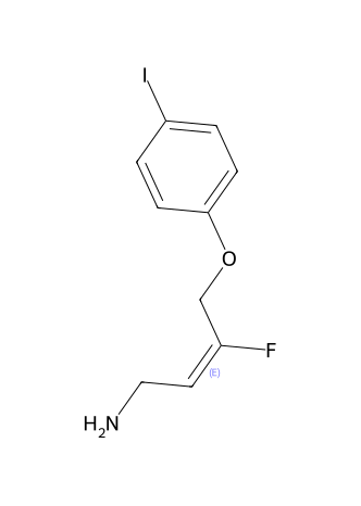 NC/C=C(/F)COc1ccc(I)cc1